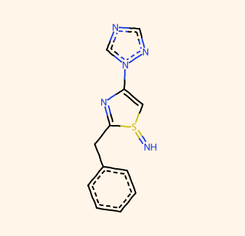 N=S1C=C(n2cncn2)N=C1Cc1ccccc1